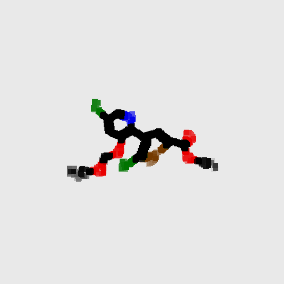 COCOc1cc(F)cnc1-c1cc(C(=O)OC)sc1Br